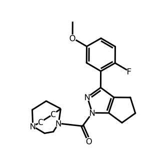 COc1ccc(F)c(-c2nn(C(=O)N3CCN4CCC3CC4)c3c2CCC3)c1